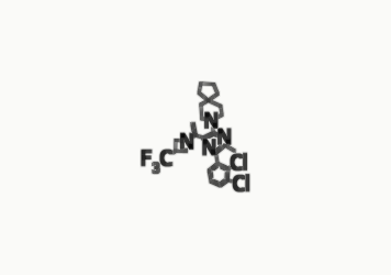 C=C(c1nc(-c2cccc(Cl)c2Cl)c(C)nc1N1CCC2(CCCC2)CC1)N1CC(C(F)(F)F)C1